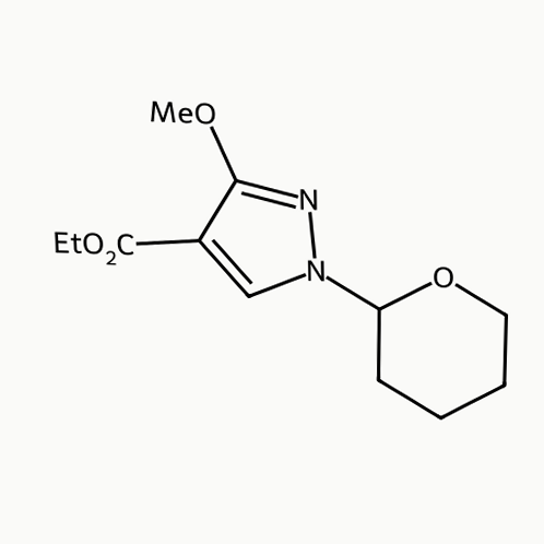 CCOC(=O)c1cn(C2CCCCO2)nc1OC